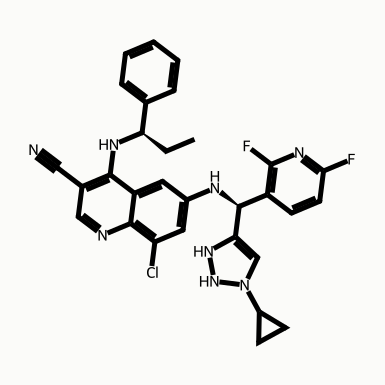 CC[C@@H](Nc1c(C#N)cnc2c(Cl)cc(N[C@H](C3=CN(C4CC4)NN3)c3ccc(F)nc3F)cc12)c1ccccc1